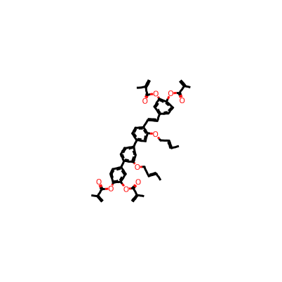 C=C(C)C(=O)Oc1ccc(/C=C/c2ccc(-c3ccc(-c4ccc(OC(=O)C(=C)C)c(OC(=O)C(=C)C)c4)c(OC/C=C/C)c3)cc2OC/C=C/C)cc1OC(=O)C(=C)C